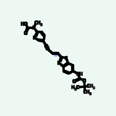 CN(C(=O)O)c1ccc(C#C/C=C/c2nc3ccc(NC(=O)OC(C)(C)C)cc3s2)cn1